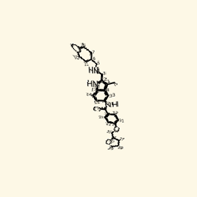 Cc1c(CNCC2CCOCC2)[nH]c2ccc(NC(=O)c3ccc(OCC4CCCO4)cc3)cc12